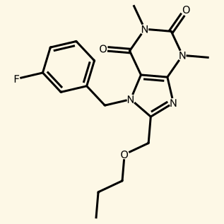 CCCOCc1nc2c(c(=O)n(C)c(=O)n2C)n1Cc1cccc(F)c1